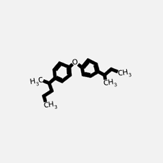 CCCC(C)c1ccc(Oc2ccc(C(C)CC)cc2)cc1